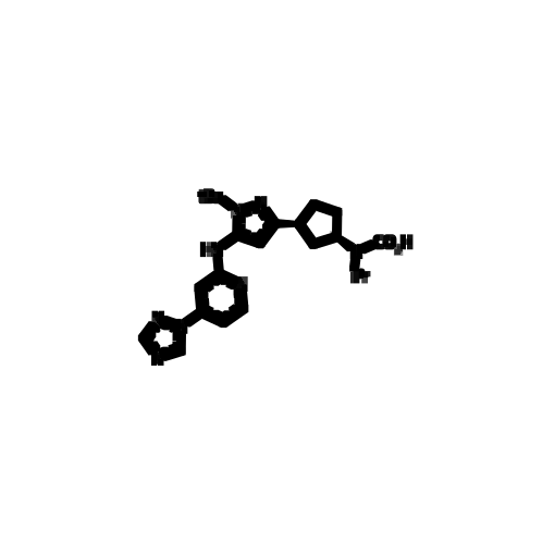 CC(C)N(C(=O)O)[C@@H]1CC[C@H](c2cc(Nc3cc(-n4cncn4)ccn3)n(C(C)(C)C)n2)C1